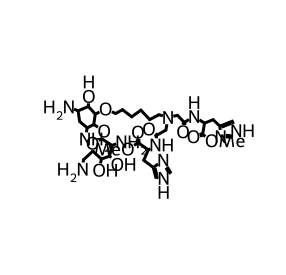 COC(=O)C(Cc1c[nH]cn1)NC(=O)CN(CCCCCCOC1C(O)C(N)CC(N)C1OC1OC(CN)C(O)C(O)C1N)CC(=O)NC(Cc1c[nH]cn1)C(=O)OC